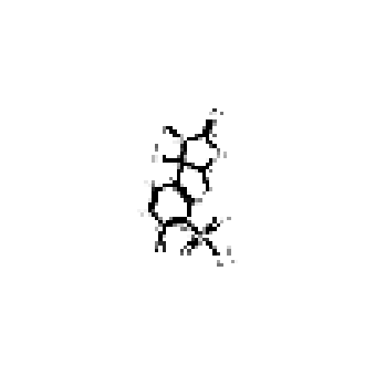 CC1SC(=S)N(C)C1(O)c1ccc(Cl)c(S(N)(=O)=O)c1